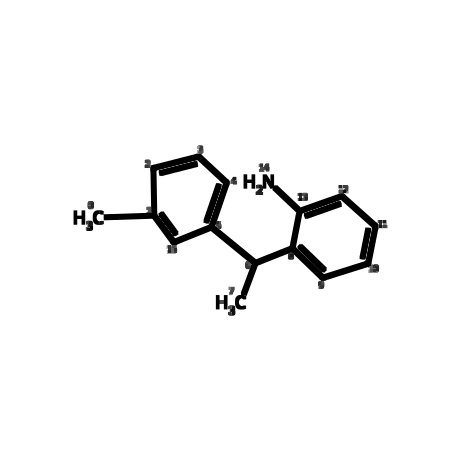 Cc1cccc(C(C)c2ccccc2N)c1